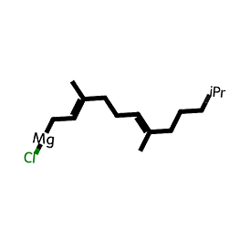 CC(=C[CH2][Mg][Cl])CCC=C(C)CCCC(C)C